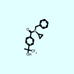 CC(O)(c1ccc(C(=O)N(Cc2ccccc2)C2CC2)cc1)C(F)(F)F